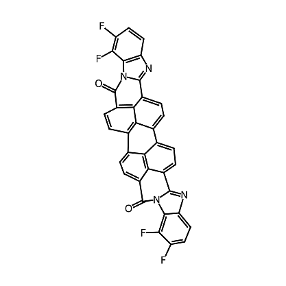 O=c1c2ccc3c4ccc5c(=O)n6c(nc7ccc(F)c(F)c76)c6ccc(c7ccc(c2c37)c2nc3ccc(F)c(F)c3n12)c4c56